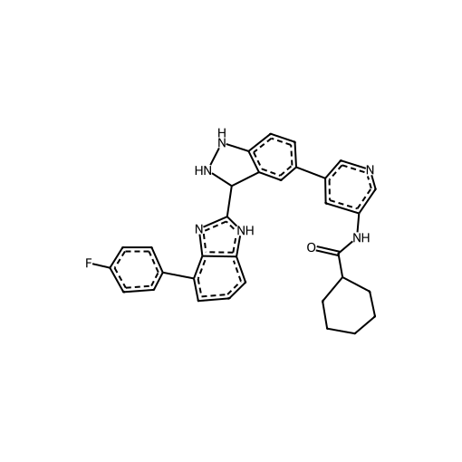 O=C(Nc1cncc(-c2ccc3c(c2)C(c2nc4c(-c5ccc(F)cc5)cccc4[nH]2)NN3)c1)C1CCCCC1